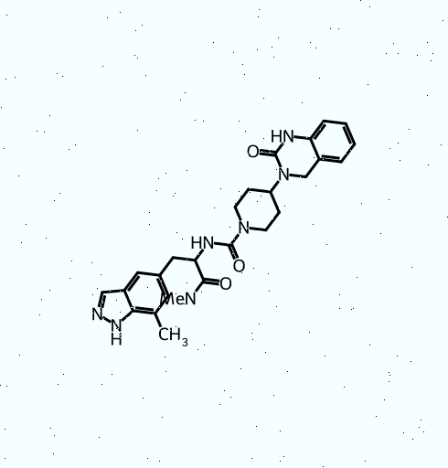 CNC(=O)C(Cc1cc(C)c2[nH]ncc2c1)NC(=O)N1CCC(N2Cc3ccccc3NC2=O)CC1